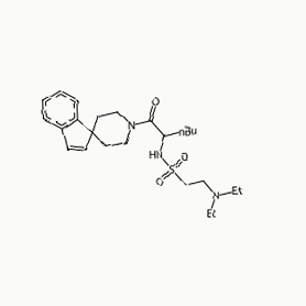 CCCCC(NS(=O)(=O)CCN(CC)CC)C(=O)N1CCC2(C=Cc3ccccc32)CC1